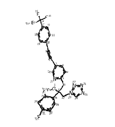 FOC(Cc1ccc(C#Cc2ccc(C(F)(F)F)cc2)cn1)(Cn1cnnn1)c1ccc(F)cc1F